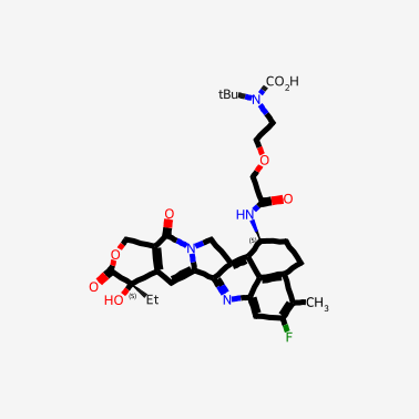 CC[C@@]1(O)C(=O)OCc2c1cc1n(c2=O)Cc2c-1nc1cc(F)c(C)c3c1c2[C@@H](NC(=O)COCCN(C(=O)O)C(C)(C)C)CC3